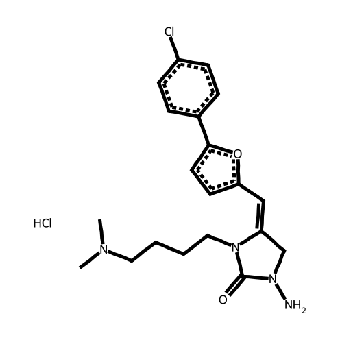 CN(C)CCCCN1C(=O)N(N)CC1=Cc1ccc(-c2ccc(Cl)cc2)o1.Cl